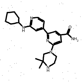 CC1(C)CN(c2cc(C(N)=O)cc(-c3ccnc(NC4CCCCC4)c3)n2)CCN1